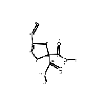 C=CC1=CCC(C(=O)OC)(C(=O)OC)C1